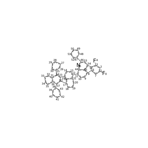 Fc1cc(F)c2c(c1)-c1ccc(-c3ccc4c5c(cccc35)-c3c-4c(-c4ccccc4)c4ccccc4c3-c3ccccc3)c3nc(-c4ccccc4)cc-2c13